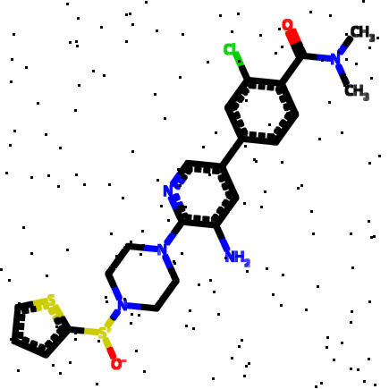 CN(C)C(=O)c1ccc(-c2cnc(N3CCN([S+]([O-])c4cccs4)CC3)c(N)c2)cc1Cl